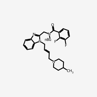 CCCCN(Cc1nc2ccccc2n1C/C=C/CN1CCC(C)CC1)C(=O)c1cccc(F)c1F